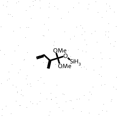 C=CC(=C)C(OC)(OC)O[SiH3]